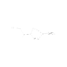 N#Cc1ccc(C(O)CO)cc1